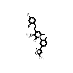 Bc1c(CCc2ccc(F)cc2F)cc(C)n(-c2cc(-c3cc(O)on3)ccc2C)c1=O